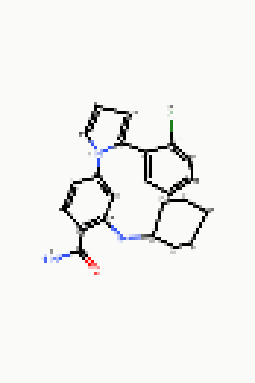 NC(=O)c1ccc(-n2cccc2-c2ccccc2Cl)cc1NC1CCCCC1